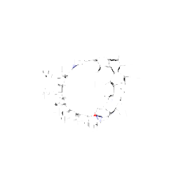 CO[C@H]1/C=C/O[C@@]2(C)Oc3c(C)c(O)c4c(O)c(c(/C=N/N5CCN(C)CC5)c(O)c4c3C2=O)NC(=O)/C(C)=C\C=C\C(C)[C@H](O)[C@@H](C)[C@@H](O)[C@@H](C)C(OC(C)=O)[C@@H]1C